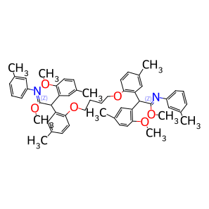 CO/C(=N\c1cccc(C)c1)C(c1cc(C)ccc1OC)c1cc(C)ccc1OCCCCOc1ccc(C)cc1C(/C(=N/c1cccc(C)c1)OC)c1cc(C)ccc1OC